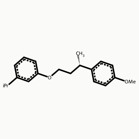 COc1ccc([C@@H](C)CCOc2cccc(C(C)C)c2)cc1